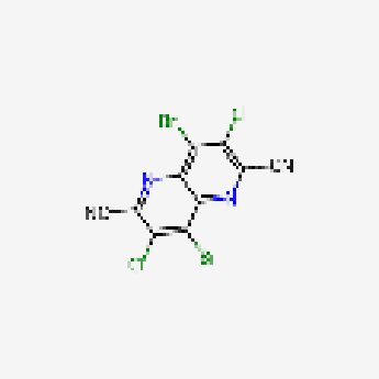 N#Cc1nc2c(Br)c(Cl)c(C#N)nc2c(Br)c1Cl